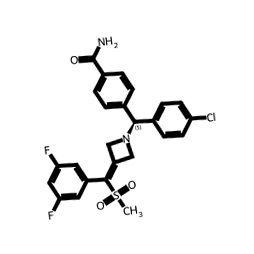 CS(=O)(=O)C(=C1CN([C@H](c2ccc(Cl)cc2)c2ccc(C(N)=O)cc2)C1)c1cc(F)cc(F)c1